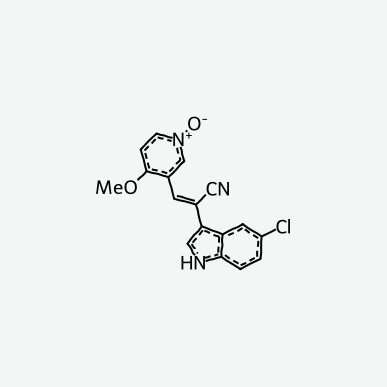 COc1cc[n+]([O-])cc1/C=C(\C#N)c1c[nH]c2ccc(Cl)cc12